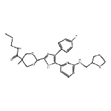 CCCNC(=O)C1(C)COC(c2nc(-c3ccc(F)cc3)c(-c3ccnc(NCC4CCCO4)n3)[nH]2)OC1